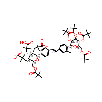 Cc1cc(/C=C/c2ccc([C@@H]3O[C@@H](COC(=O)C(C)(C)C)[C@H](CC(C)(C)C(=O)O)[C@H](CC(C)(C)C(=O)O)[C@H]3CC(C)(C)C(=O)O)cc2)ccc1[C@H]1O[C@H](COC(=O)C(C)(C)C)[C@@H](OC(=O)C(C)(C)C)[C@H](OC(=O)C(C)(C)C)[C@@H]1OC(=O)C(C)(C)C